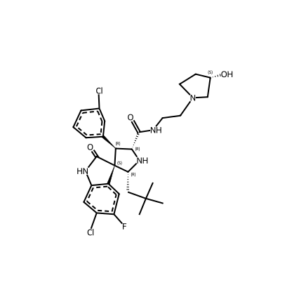 CC(C)(C)C[C@H]1N[C@@H](C(=O)NCCN2CC[C@H](O)C2)[C@H](c2cccc(Cl)c2)[C@@]12C(=O)Nc1cc(Cl)c(F)cc12